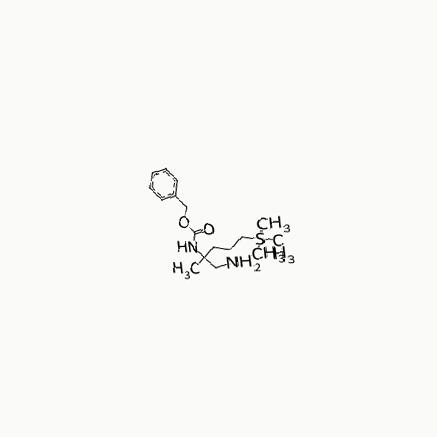 CC(CN)(CCCS(C)(C)C)NC(=O)OCc1ccccc1